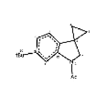 CC(=O)N1CC2(CC2)c2ccc(C(C)(C)C)cc21